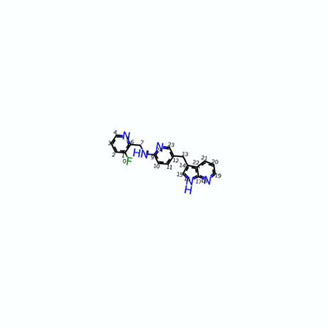 Fc1cccnc1CNc1ccc(Cc2c[nH]c3ncccc23)cn1